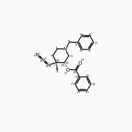 C[C@@]1(N=[N+]=[N-])CCN(Cc2ccccc2)C[C@@H]1OC(=O)c1ccccc1